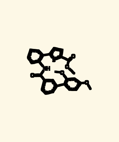 COC(=O)c1ccc(-c2ccccc2NC(=O)c2cccc(-c3ccc(OC)cc3OC)c2)s1